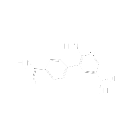 NC(=O)c1ccc(-c2cc(B(O)O)cnc2N)cc1